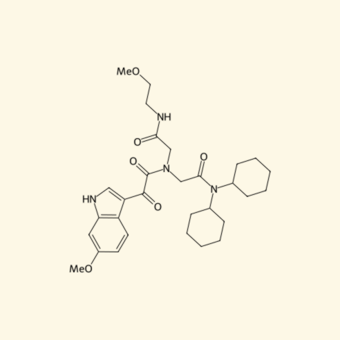 COCCNC(=O)CN(CC(=O)N(C1CCCCC1)C1CCCCC1)C(=O)C(=O)c1c[nH]c2cc(OC)ccc12